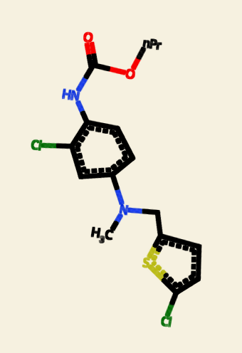 CCCOC(=O)Nc1ccc(N(C)Cc2ccc(Cl)s2)cc1Cl